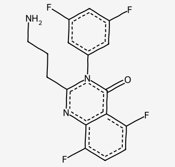 NCCCc1nc2c(F)ccc(F)c2c(=O)n1-c1cc(F)cc(F)c1